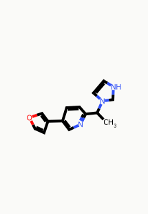 CC(c1ccc(-c2ccoc2)cn1)N1C=CNC1